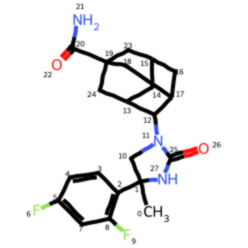 CC1(c2ccc(F)cc2F)CN(C2C3CC4CC2CC(C(N)=O)(C4)C3)C(=O)N1